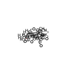 CCC1O[C@H](OCC2(C)O[C@@H](O[C@@H]3C(COCc4ccccc4)O[C@@H](OCc4ccccc4)C(N=[N+]=[N-])[C@H]3C)C(OCc3ccccc3)[C@@H](O[C@H]3O[C@@H](CC)[C@@H](C)C(C)C3O[C@H]3O[C@@H](CC)[C@@H](C)C(C)C3OCc3ccccc3)[C@@H]2C)C(OCc2ccccc2)[C@@H](C)[C@@H]1C